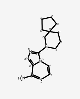 Nc1nccn2c(N3CCCC4(CCCC4)C3)nnc12